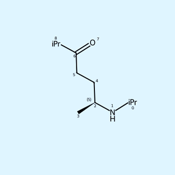 CC(C)N[C@@H](C)CCC(=O)C(C)C